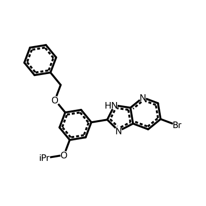 CC(C)Oc1cc(OCc2ccccc2)cc(-c2nc3cc(Br)cnc3[nH]2)c1